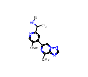 CCNC(c1cc(-c2cn3ncnc3c(OC)n2)c(OC)cn1)C(F)(F)F